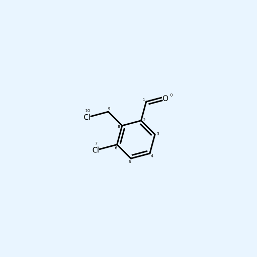 O=Cc1cccc(Cl)c1CCl